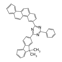 CC1(C)c2ccccc2-c2ccc(-c3nc(-c4ccccc4)nc(-c4ccc5ccc6c7ccccc7ccc6c5c4)n3)cc21